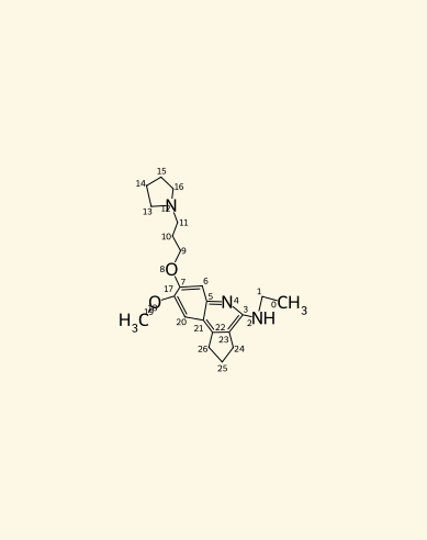 CCNc1nc2cc(OCCCN3CCCC3)c(OC)cc2c2c1CCC2